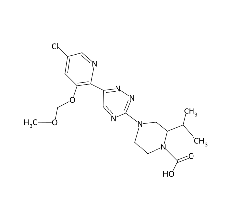 COCOc1cc(Cl)cnc1-c1cnc(N2CCN(C(=O)O)C(C(C)C)C2)nn1